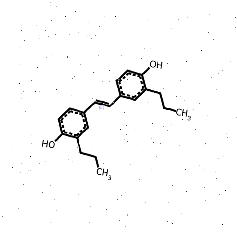 CCCc1cc(/C=C/c2ccc(O)c(CCC)c2)ccc1O